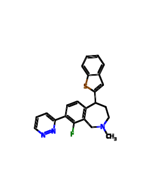 CN1CCC(c2cc3ccccc3s2)c2ccc(-c3cccnn3)c(F)c2C1